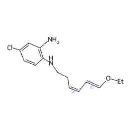 CCO/C=C/C=C\CCNc1ccc(Cl)cc1N